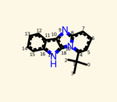 CC(C)(C)c1cccc2nc3c4ccccc4[nH]c3n12